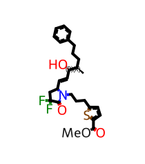 COC(=O)c1ccc(CCCN2C(=O)C(F)(F)CC2C=C[C@H](O)[C@H](C)CCCc2ccccc2)s1